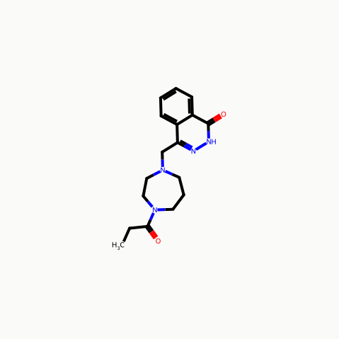 CCC(=O)N1CCCN(Cc2n[nH]c(=O)c3ccccc23)CC1